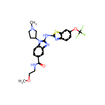 COCCNC(=O)c1ccc2c(c1)nc(Nc1nc3ccc(OC(F)(F)F)cc3s1)n2C1CCN(C)C1